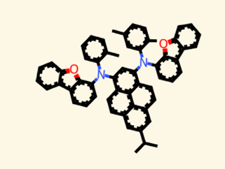 Cc1ccc(C)c(N(c2cc(N(c3ccccc3C)c3cccc4c3oc3ccccc34)c3ccc4cc(C(C)C)cc5ccc2c3c45)c2cccc3c2oc2ccccc23)c1